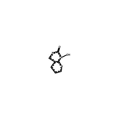 O=c1ncc2cccnc2n1O